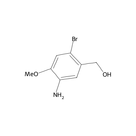 COc1cc(Br)c(CO)cc1N